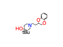 CC(C)(C)C1(O)CCN(CCC2COc3ccccc3O2)CC1